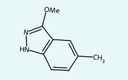 COc1n[nH]c2ccc(C)cc12